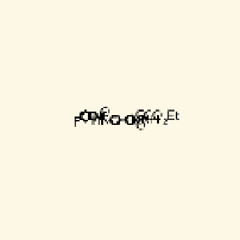 CCOC(=O)NS(=O)(=O)N1CCC(c2ccc(NC(=O)N3Cc4ccc(F)cc4C3)cc2)CC1